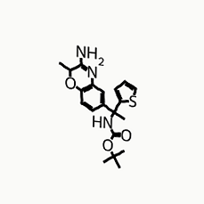 CC1Oc2ccc(C(C)(NC(=O)OC(C)(C)C)c3cccs3)cc2N=C1N